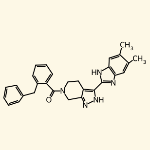 Cc1cc2nc(-c3[nH]nc4c3CCN(C(=O)c3ccccc3Cc3ccccc3)C4)[nH]c2cc1C